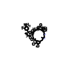 COc1cc2cc(c1Cl)N(C)C(=O)C[C@H](OC(=O)[C@H](C)N(C)C(=O)c1ccc(N)c(F)c1)[C@]1(C)O[C@H]1[C@H](C)[C@@H]1C[C@@](O)(NC(=O)O1)[C@H](OC)/C=C/C=C(\C)C2